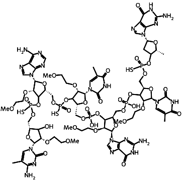 COCCO[C@H]1C(O)[C@@H](COP(=O)(S)OC2[C@@H](COP(=O)(S)OC3[C@@H](COP(=O)(O)OC4[C@@H](COP(=O)(O)OC5[C@@H](COP(=O)(S)OC6C[C@H](n7cnc8c(=O)[nH]c(N)nc87)O[C@@H]6C)O[C@@H](n6cc(C)c(=O)[nH]c6=O)[C@H]5OCCOC)O[C@@H](n5cnc6c(=O)[nH]c(N)nc65)[C@H]4OCCOC)O[C@@H](n4cc(C)c(=O)[nH]c4=O)[C@H]3OCCOC)O[C@@H](n3cnc4c(N)ncnc43)[C@H]2OCCOC)O[C@H]1n1cc(C)c(N)nc1=O